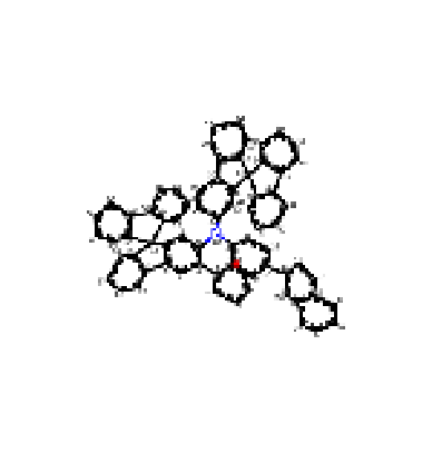 c1ccc(-c2cc3c(cc2N(c2ccc(-c4ccc5ccccc5c4)cc2)c2ccc4c(c2)C2(c5ccccc5-c5ccccc52)c2ccccc2-4)C2(c4ccccc4-c4ccccc42)c2ccccc2-3)cc1